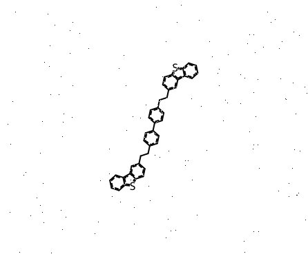 c1ccc2c(c1)sc1ccc(CCc3ccc(-c4ccc(CCc5ccc6sc7ccccc7c6c5)cc4)cc3)cc12